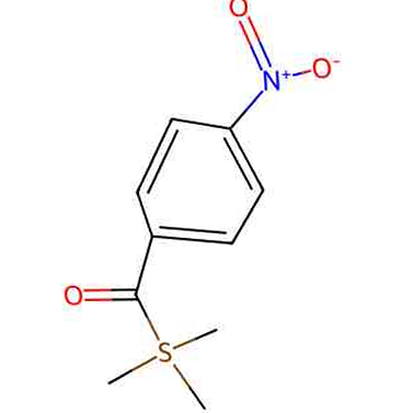 CS(C)(C)C(=O)c1ccc([N+](=O)[O-])cc1